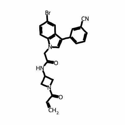 C=CC(=O)N1CC(NC(=O)Cn2cc(-c3cccc(C#N)c3)c3cc(Br)ccc32)C1